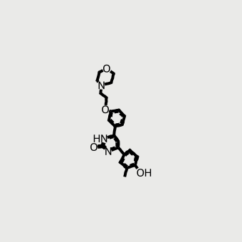 Cc1cc(-c2cc(-c3cccc(OCCN4CCOCC4)c3)[nH]c(=O)n2)ccc1O